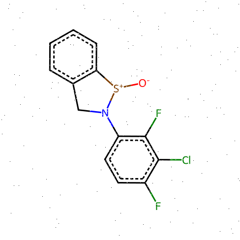 [O-][S+]1c2ccccc2CN1c1ccc(F)c(Cl)c1F